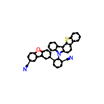 N#Cc1ccc2oc3ccc(-c4cccc(C#N)c4-n4c5ccccc5c5c6sc7ccccc7c6ccc54)cc3c2c1